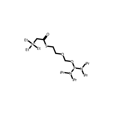 CC[N+](CC)(CC)CC(=O)SCCOCOP(N(C(C)C)C(C)C)N(C(C)C)C(C)C